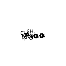 Cc1c(Cl)c(C(F)(F)F)nn1CC(=O)N1CCN(c2ccncc2)CC1